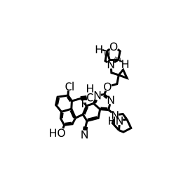 C#Cc1c(Cl)ccc2cc(O)cc(-c3c(C#N)cc4c(N5CC6CCC(C5)N6)nc(OCC5(CN6C[C@H]7C[C@@H]6CO7)CC5)nc4c3F)c12